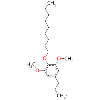 [CH2]CCc1cc(OC)c(OCCCCCCCCC)c(OC)c1